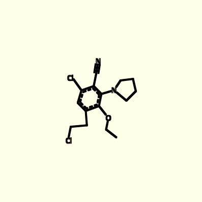 CCOc1c(CCCl)cc(Cl)c(C#N)c1N1CCCC1